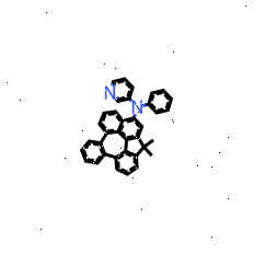 CC1(C)c2cccc3c2-c2c1cc(N(c1ccccc1)c1cccnc1)c1cccc(c21)-c1ccccc1-3